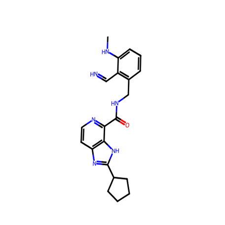 CNc1cccc(CNC(=O)c2nccc3nc(C4CCCC4)[nH]c23)c1C=N